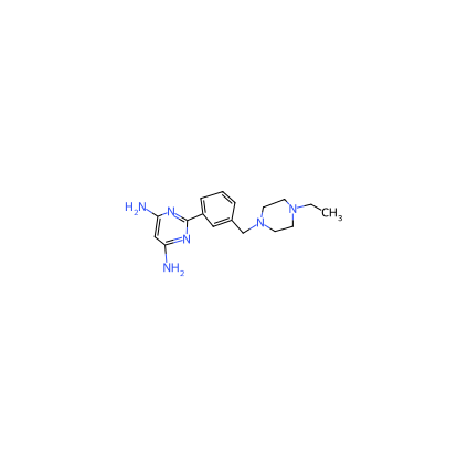 CCN1CCN(Cc2cccc(-c3nc(N)cc(N)n3)c2)CC1